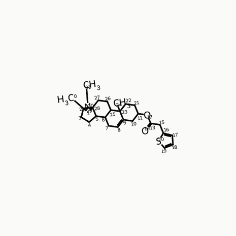 CC1C2CCC3C4CC=C5CC(OC(=O)Cc6cccs6)CCC5(C)C4CCC32CN1C